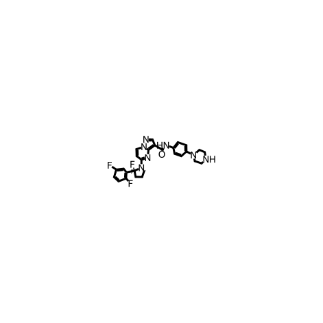 O=C(Nc1ccc(N2CCNCC2)cc1)c1cnn2ccc(N3CCC[C@@]3(F)c3cc(F)ccc3F)nc12